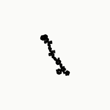 Cc1cc(OCc2nnc(SC3CCCC3)n2-c2cccnc2)ccc1C#CCOC(=O)NCCOCCNC(=O)CC1C2CC3CC(C2)CC1C3